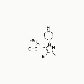 CC(C)(C)OC=O.Cc1nn(C2CCNCC2)c(C)c1Br